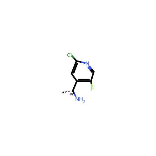 C[C@@H](N)c1cc(Cl)ncc1F